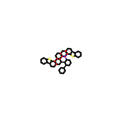 c1ccc(-c2ccccc2-c2c(-c3ccccc3)cccc2N(c2cccc(-c3cccc4c3sc3ccccc34)c2)c2cccc3c2sc2ccccc23)cc1